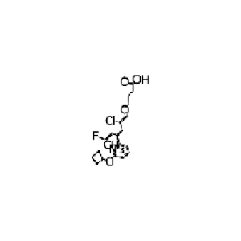 C\C(F)=C/C(=C\C(Cl)=C\OCCCC(=O)O)c1cccc(OC2CCC2)n1